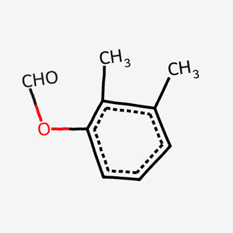 Cc1cccc(OC=O)c1C